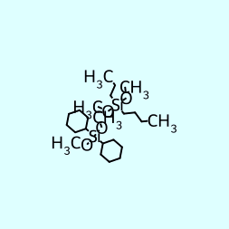 CCCC[Si](CCC)(OC)OC.CO[Si](OC)(C1CCCCC1)C1CCCCC1